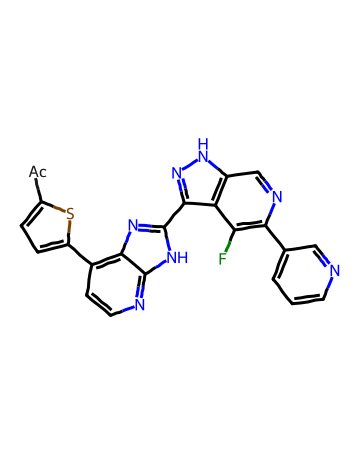 CC(=O)c1ccc(-c2ccnc3[nH]c(-c4n[nH]c5cnc(-c6cccnc6)c(F)c45)nc23)s1